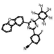 [2H]c1c([2H])c([2H])c(-c2nc(-c3ccc4oc5ccccc5c4c3)nc(-c3cc(C#N)ccc3F)n2)c([2H])c1[2H]